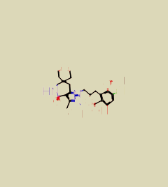 CCc1nn(CCCc2c(C(=O)O)ccc(Cl)c2OC)c2c1C(=O)NCC1(CCOCC1)C2